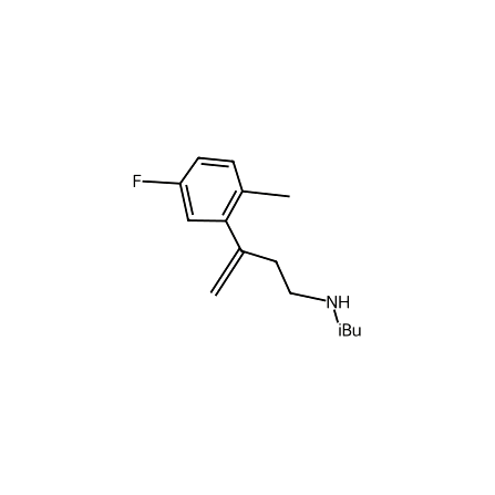 C=C(CCNC(C)CC)c1cc(F)ccc1C